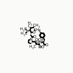 CC[C@H](C)[C@@H]([C@@H](CC(=O)N1CCC[C@H]1[C@H](OC)[C@@H](C)C(=O)N[C@@H](Cc1ccc(F)cc1)C(=O)O)OC)N(C)C